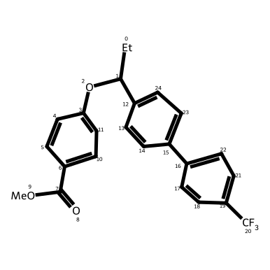 CCC(Oc1ccc(C(=O)OC)cc1)c1ccc(-c2ccc(C(F)(F)F)cc2)cc1